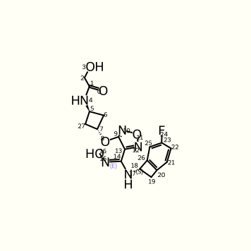 O=C(CO)N[C@H]1C[C@H](Oc2nonc2/C(=N\O)N[C@H]2Cc3ccc(F)cc32)C1